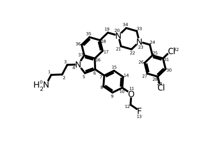 NCCCn1cc(-c2ccc(OCF)cc2)c2cc(CN3CCN(Cc4ccc(Cl)cc4Cl)CC3)ccc21